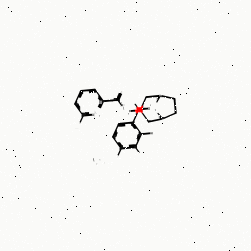 COc1ccc(C(C)N2C3CCC2CC(NC(=O)c2cccc(F)n2)C3)c(C)c1C